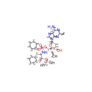 C#C[C@]1(CO[P@@](=O)(NC(Cc2ccccc2)C(=O)OC(CCC)CCC)Oc2ccccc2)O[C@@H](n2cnc3c(N)nc(F)nc32)C[C@@H]1O